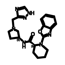 O=C(N[C@H]1CCN(Cc2nc[nH]n2)C1)[C@@H]1CCCCN1c1nc2ccccc2o1